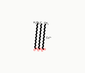 CCCCCCCCCCCCCCCCCC(=O)[O-].CCCCCCCCCCCCCCCCCC(=O)[O-].CCCCCCCCCCCCCCCCCC(=O)[O-].[Cu+3]